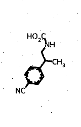 CC(CNC(=O)O)c1ccc(C#N)cc1